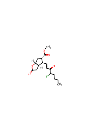 CCCCC(F)C(=O)C=C[C@H]1[C@H]2CC(=O)O[C@@H]2C[C@@H]1C(=O)OC